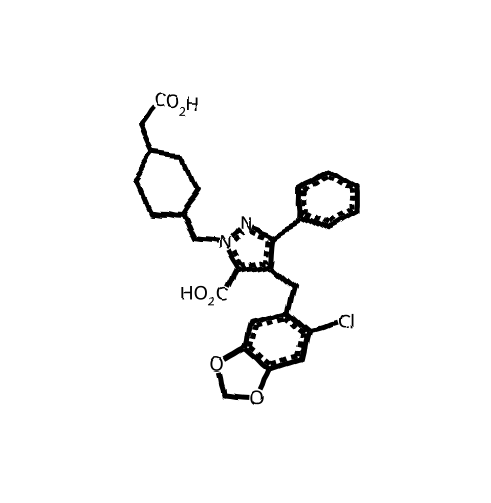 O=C(O)CC1CCC(Cn2nc(-c3ccccc3)c(Cc3cc4c(cc3Cl)OCO4)c2C(=O)O)CC1